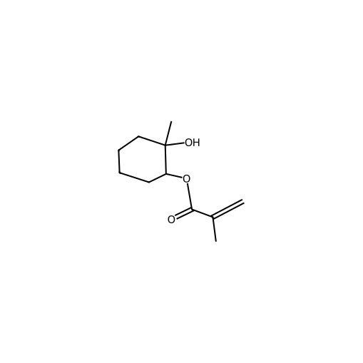 C=C(C)C(=O)OC1CCCCC1(C)O